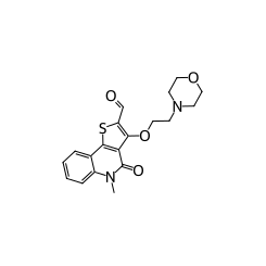 Cn1c(=O)c2c(OCCN3CCOCC3)c(C=O)sc2c2ccccc21